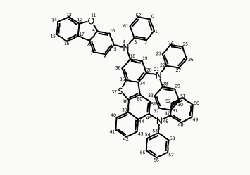 c1ccc(N(c2ccc3c(c2)oc2ccccc23)c2cc(N(c3ccccc3)c3ccccc3)c3c(c2)sc2c4ccccc4c(N(c4ccccc4)c4ccccc4)cc23)cc1